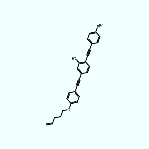 C=CCCCOc1ccc(C#Cc2ccc(C#Cc3ccc(CCC)cc3)c(CC)c2)cc1